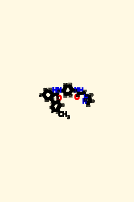 Cc1ccc(C2=C(C(=O)Nc3ccc(NC(=O)Cn4cccn4)cc3)CCCC2)cc1